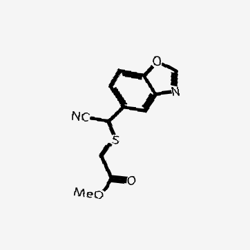 COC(=O)CSC(C#N)c1ccc2ocnc2c1